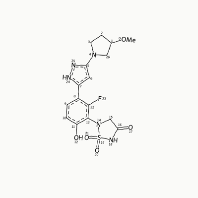 COC1CCN(c2cc(-c3ccc(O)c(N4CC(=O)NS4(=O)=O)c3F)[nH]n2)C1